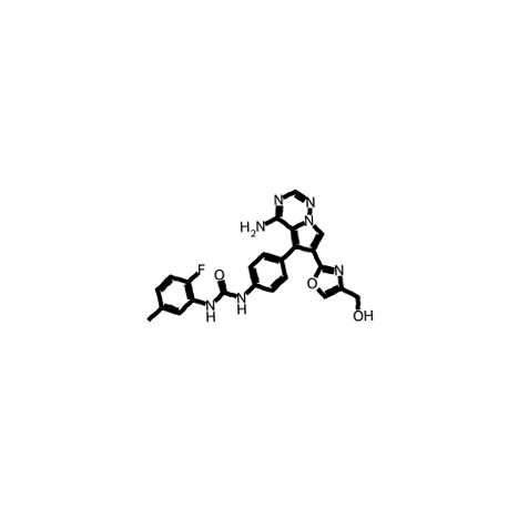 Cc1ccc(F)c(NC(=O)Nc2ccc(-c3c(-c4nc(CO)co4)cn4ncnc(N)c34)cc2)c1